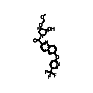 COCO[C@@H]1CN(C(=O)c2ccc3cc(Oc4ccc(C(F)(F)F)cn4)ccc3n2)C[C@@H]1O